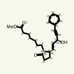 COC(=O)CCCCCCN1C(=O)CC[C@@H]1/C=C/[C@H](O)C#Cc1ccccc1